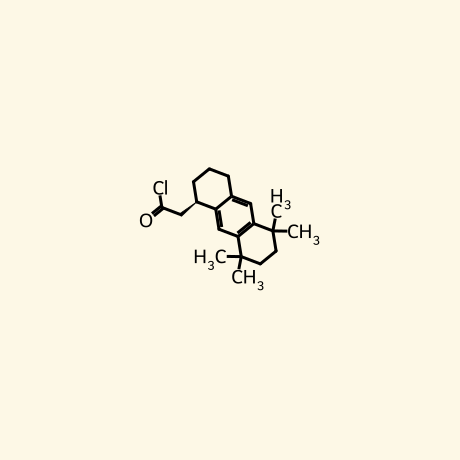 CC1(C)CCC(C)(C)c2cc3c(cc21)CCC[C@@H]3CC(=O)Cl